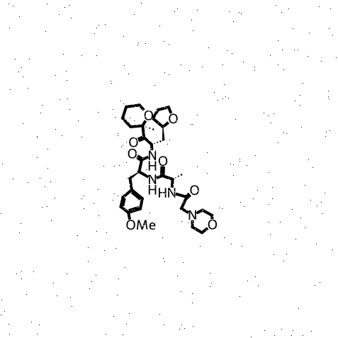 COc1ccc(C[C@H](NC(=O)[C@H](C)NC(=O)CN2CCOCC2)C(=O)N[C@@H](C[C@H]2CCCO2)C(=O)[C@@]2(C)CCCCO2)cc1